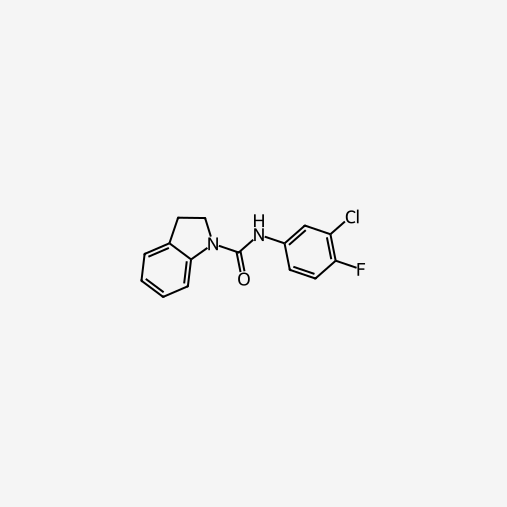 O=C(Nc1ccc(F)c(Cl)c1)N1CCc2ccccc21